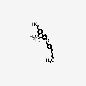 CCCCCCc1ccc(COc2ccc(-c3ccc(CCO)cc3CC)c(CC)c2)cc1